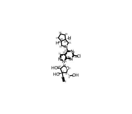 C#C[C@@]1(O)[C@@H](CO)O[C@@H](n2ncc3c(N4C[C@H]5CCC[C@H]5C4)nc(Cl)nc32)[C@@H]1O